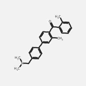 Cc1ccccc1C(=O)c1ccc(-c2ccc(CN(C)C)cc2)cc1C